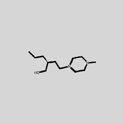 CCC[C@H](CO)CCN1CCN(C)CC1